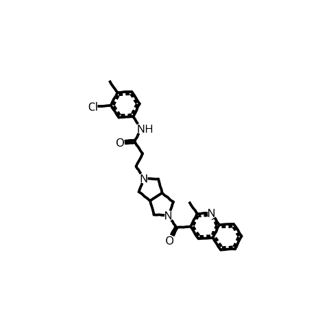 Cc1ccc(NC(=O)CCN2CC3CN(C(=O)c4cc5ccccc5nc4C)CC3C2)cc1Cl